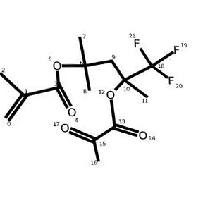 C=C(C)C(=O)OC(C)(C)CC(C)(OC(=O)C(C)=O)C(F)(F)F